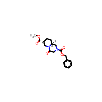 COC(=O)[C@@H]1CC[C@H]2CN(C(=O)OCc3ccccc3)CC(=O)N2C1